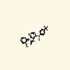 Cc1nc2c(Nc3ccc(C(C)(C)C)cc3)ncnc2n1-c1ccccc1Cl